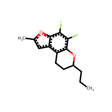 CCCC1CCc2c(c(F)c(F)c3oc(C)cc23)O1